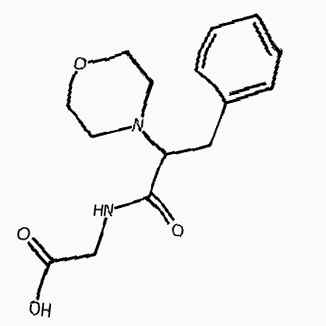 O=C(O)CNC(=O)C(Cc1ccccc1)N1CCOCC1